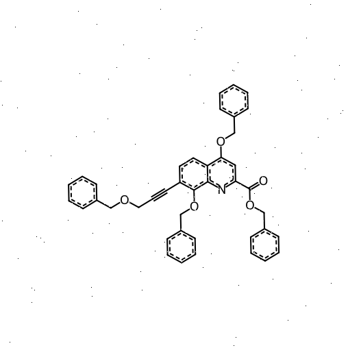 O=C(OCc1ccccc1)c1cc(OCc2ccccc2)c2ccc(C#CCOCc3ccccc3)c(OCc3ccccc3)c2n1